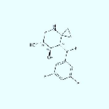 O[C@H]1[C@H](O)CNC2(CC2)[C@@H]1C(F)c1cc(F)cc(F)c1